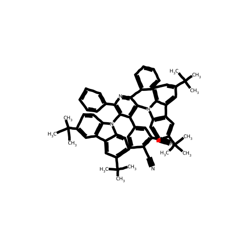 CC(C)(C)c1ccc2c(c1)c1cc(C(C)(C)C)ccc1n2-c1c(-c2ccccc2)nc(-c2ccccc2)c(-n2c3ccc(C(C)(C)C)cc3c3cc(C(C)(C)C)ccc32)c1-c1ccc(C#N)c(C#N)c1